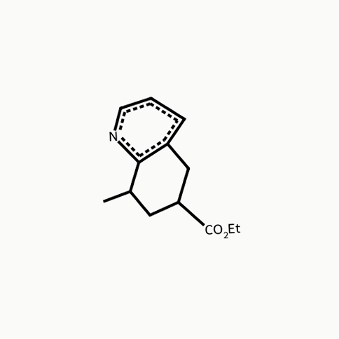 CCOC(=O)C1Cc2cccnc2C(C)C1